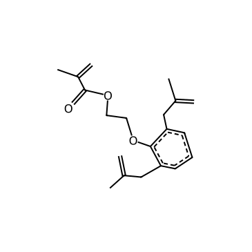 C=C(C)Cc1cccc(CC(=C)C)c1OCCOC(=O)C(=C)C